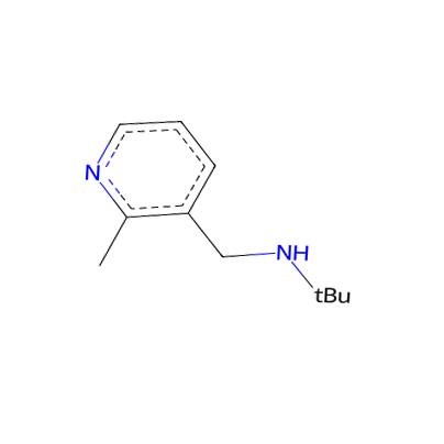 Cc1ncccc1CNC(C)(C)C